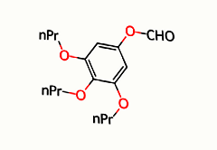 CCCOc1cc(OC=O)cc(OCCC)c1OCCC